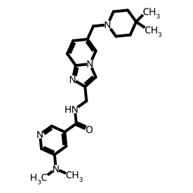 CN(C)c1cncc(C(=O)NCc2cn3cc(CN4CCC(C)(C)CC4)ccc3n2)c1